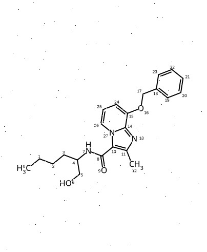 CCCCC(CO)NC(=O)c1c(C)nc2c(OCc3ccccc3)cccn12